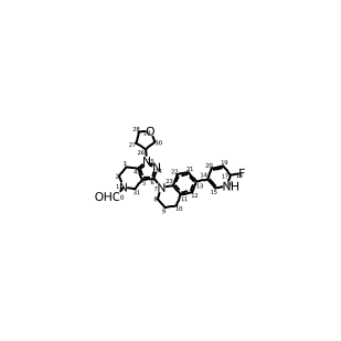 O=CN1CCc2c(c(N3CCCc4cc(C5=CNC(F)C=C5)ccc43)nn2C2CCOC2)C1